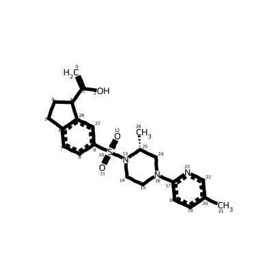 C=C(O)C1CCc2ccc(S(=O)(=O)N3CCN(c4ccc(C)cn4)C[C@H]3C)cc21